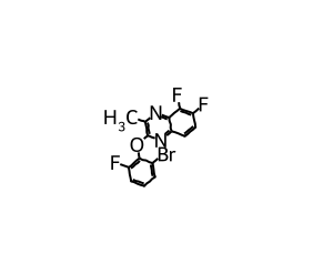 Cc1nc2c(F)c(F)ccc2nc1Oc1c(F)cccc1Br